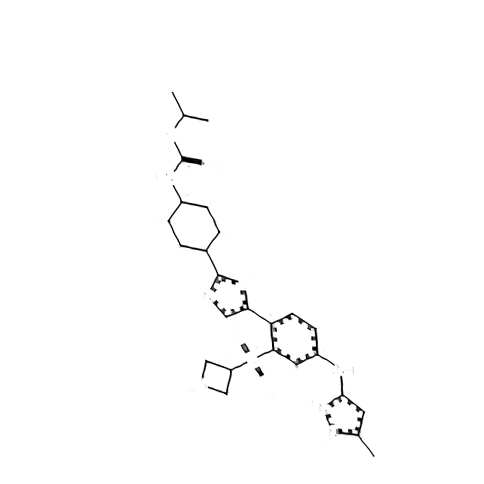 Cc1cc(Nc2ccc(-c3cnc(C4CCC(NC(=O)OC(C)C)CC4)s3)c(S(=O)(=O)C3COC3)c2)n[nH]1